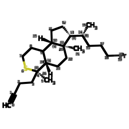 C#CCC[C@@]1(C)SCCC2[C@@H]3CC[C@H]([C@H](C)CCCC(C)C)[C@@]3(C)CC[C@@H]21